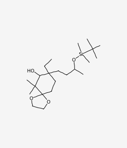 CCC1(CCC(C)O[Si](C)(C)C(C)(C)C)CCC2(OCCO2)C(C)(C)C1O